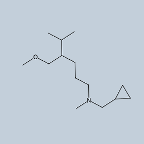 COCC(CCCN(C)CC1CC1)C(C)C